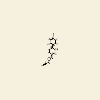 C#CCON=C1CCC(c2ccc(C)cc2)CC1